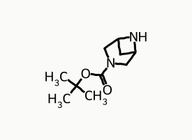 CC(C)(C)OC(=O)N1CC2CC(C1)N2